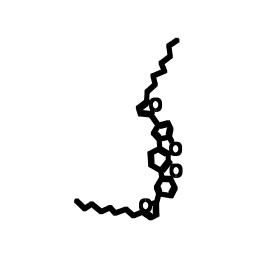 CCCCCCCCc1ccc(-c2ccc3oc4c(ccc5c6cc(-c7ccc(CCCCCCCC)o7)ccc6oc54)c3c2)o1